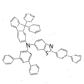 c1ccc(-c2ccc(-c3nc4ccc(N(c5cc(-c6ccccc6)cc(-c6ccccc6)c5)c5ccc6c(c5)C(c5ccccc5)(c5ccccc5)c5ccccc5-6)cc4s3)cc2)cc1